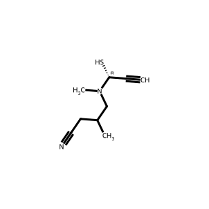 C#C[C@@H](S)N(C)CC(C)CC#N